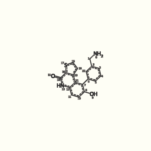 NCc1cccc(-c2c(O)ccc3[nH]c(=O)c4sccc4c23)c1